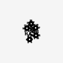 C[P@@](c1ccccc1)c1ccccc1Oc1ccccc1[PH](C)(c1ccccc1)c1ccccc1